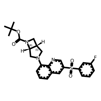 CC(C)(C)OC(=O)N1C[C@@H]2CN(c3cccc4cc(S(=O)(=O)c5cccc(F)c5)cnc34)C[C@@H]21